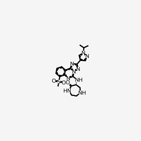 CC(C)n1cc(-c2nc3c4cccc(S(C)(=O)=O)c4nc(N[C@@H]4CNCCNC4=O)n3n2)cn1